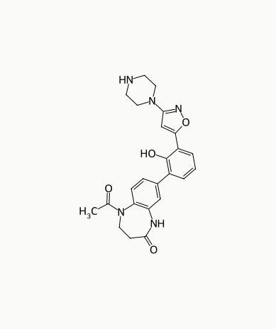 CC(=O)N1CCC(=O)Nc2cc(-c3cccc(-c4cc(N5CCNCC5)no4)c3O)ccc21